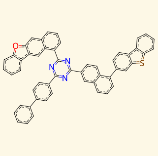 c1ccc(-c2ccc(-c3nc(-c4ccc5c(-c6ccc7c(c6)sc6ccccc67)cccc5c4)nc(-c4cccc5cc6oc7ccccc7c6cc45)n3)cc2)cc1